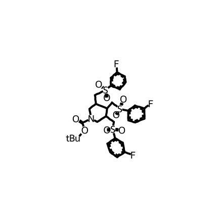 CC(C)(C)OC(=O)N1CC(CS(=O)(=O)c2cccc(F)c2)C(CS(=O)(=O)c2cccc(F)c2)C(CS(=O)(=O)c2cccc(F)c2)C1